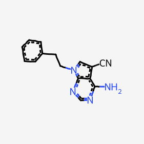 N#Cc1cn(CCc2ccccc2)c2ncnc(N)c12